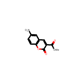 COC(=O)c1cc2cc([N+](=O)[O-])ccc2oc1=O